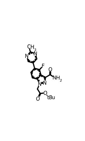 Cc1ncc(-c2ccc3c(c(C(N)=O)nn3CC(=O)OC(C)(C)C)c2F)cn1